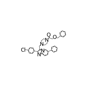 O=C(COCc1ccccc1)N1CCN(Cc2c(-c3ccc(Cl)cc3)nc3ccc(-c4ccccc4)cn23)CC1